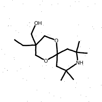 CCC1(CO)COC2(CC(C)(C)NC(C)(C)C2)OC1